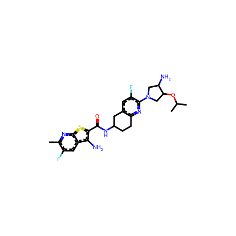 Cc1nc2sc(C(=O)NC3CCc4nc(N5CC(N)C(OC(C)C)C5)c(F)cc4C3)c(N)c2cc1F